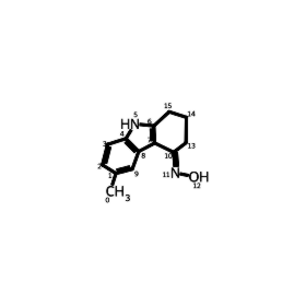 Cc1ccc2[nH]c3c(c2c1)/C(=N/O)CCC3